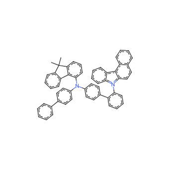 CC1(C)c2ccccc2-c2c(N(c3ccc(-c4ccccc4)cc3)c3ccc(-c4ccccc4-n4c5ccccc5c5c6ccccc6ccc54)cc3)cccc21